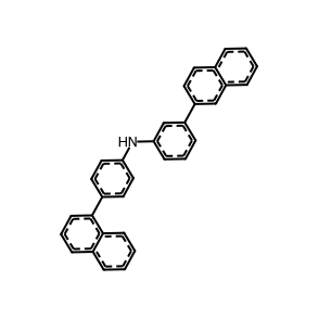 c1cc(Nc2ccc(-c3cccc4ccccc34)cc2)cc(-c2ccc3ccccc3c2)c1